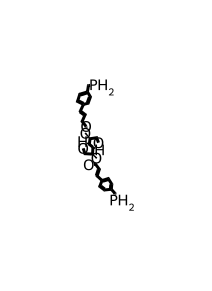 O=C(/C=C/c1ccc(CP)cc1)O[C@H]1CO[C@H]2[C@@H]1OC[C@@H]2OOC/C=C/c1ccc(CP)cc1